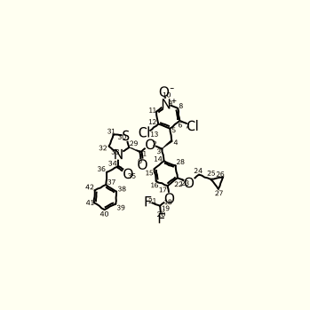 O=C(O[C@@H](Cc1c(Cl)c[n+]([O-])cc1Cl)c1ccc(OC(F)F)c(OCC2CC2)c1)[C@@H]1SCCN1C(=O)Cc1ccccc1